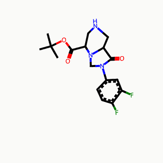 CC(C)(C)OC(=O)C1CNCC2C(=O)N(c3ccc(F)c(F)c3)CN12